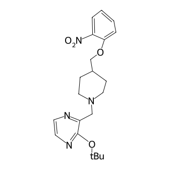 CC(C)(C)Oc1nccnc1CN1CCC(COc2ccccc2[N+](=O)[O-])CC1